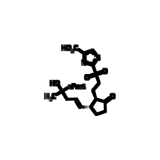 CCCCCC(C)(O)C/C=C/[C@H]1CCC(=O)[C@@H]1CCS(=O)(=O)c1nc(C(=O)O)cs1